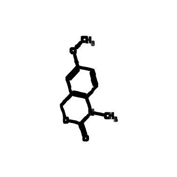 COc1ccc2c(c1)COC(=O)N2C